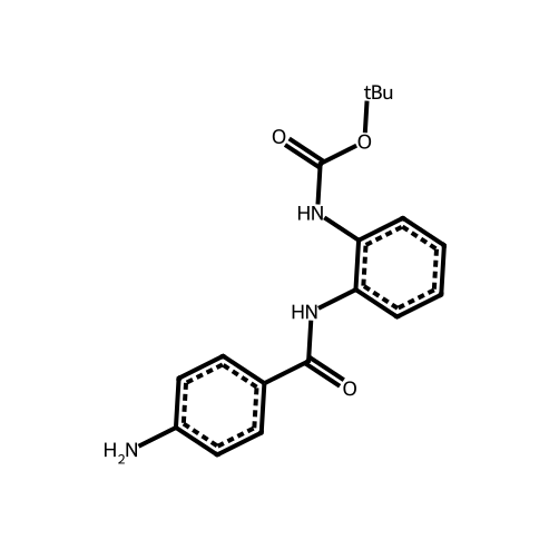 CC(C)(C)OC(=O)Nc1ccccc1NC(=O)c1ccc(N)cc1